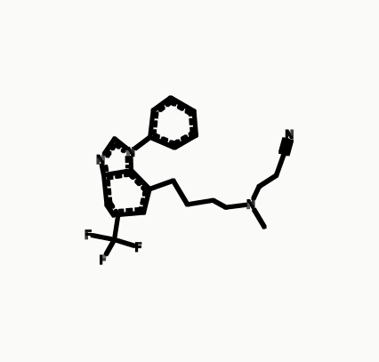 CN(CCC#N)CCCCc1cc(C(F)(F)F)cc2ncn(-c3ccccc3)c12